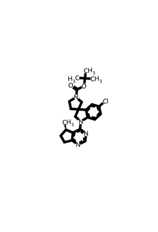 C[C@@H]1CCc2ncnc(N3CC4(CCN(C(=O)OC(C)(C)C)C4)c4cc(Cl)ccc43)c21